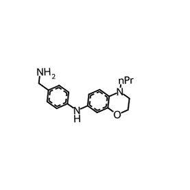 CCCN1CCOc2cc(Nc3ccc(CN)cc3)ccc21